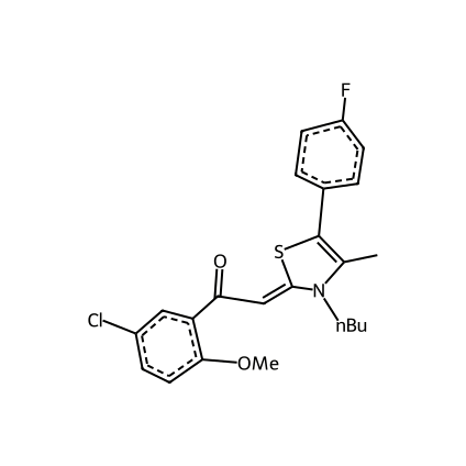 CCCCN1C(C)=C(c2ccc(F)cc2)S/C1=C\C(=O)c1cc(Cl)ccc1OC